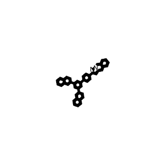 c1ccc2cc(-c3cc(-c4ccc(-c5cc6cc7ccccc7cn6n5)cc4)cc(-c4ccc5ccccc5c4)c3)ccc2c1